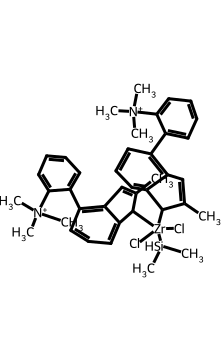 CC1=Cc2c(-c3ccccc3[N+](C)(C)C)cccc2[CH]1[Zr]([Cl])([Cl])([CH]1C(C)=Cc2c(-c3ccccc3[N+](C)(C)C)cccc21)[SiH](C)C